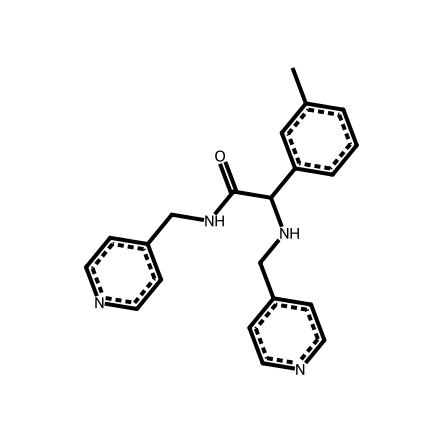 Cc1cccc(C(NCc2ccncc2)C(=O)NCc2ccncc2)c1